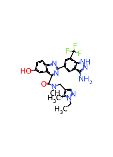 CCn1ncc(CN(C)C(=O)c2nc(-c3cc(C(F)(F)F)c4[nH]nc(N)c4c3)nc3ccc(O)cc23)c1C